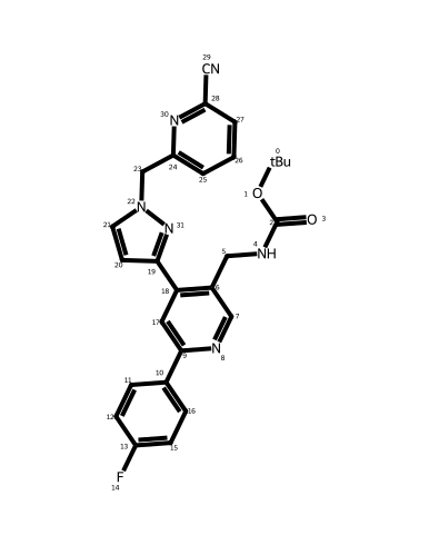 CC(C)(C)OC(=O)NCc1cnc(-c2ccc(F)cc2)cc1-c1ccn(Cc2cccc(C#N)n2)n1